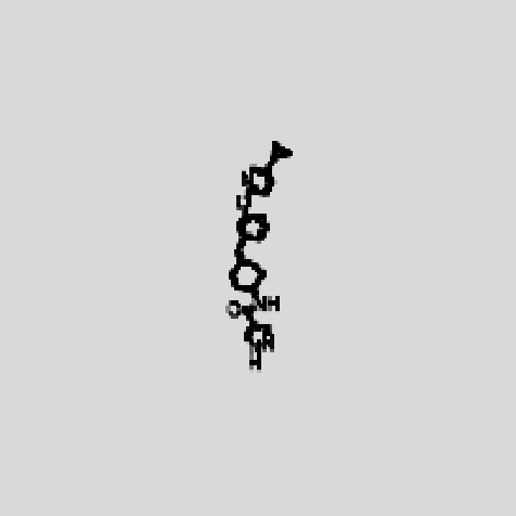 O=C(NC1CCC(=Cc2cccc(Oc3ccc(C4CC4)cn3)c2)CC1)c1cn[nH]c1